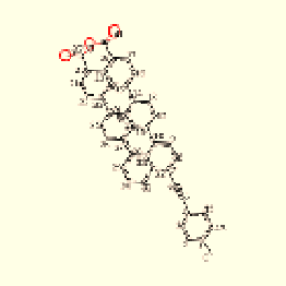 Cc1ccc(C#Cc2ccc3c4ccc5c6ccc7c8c(ccc(c9ccc(c%10cccc2c%103)c4c95)c86)C(=O)OC7=O)cc1